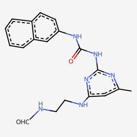 Cc1cc(NCCNC=O)nc(NC(=O)Nc2ccc3ccccc3c2)n1